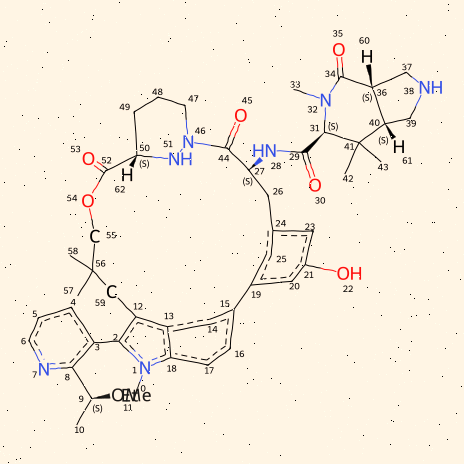 CCn1c(-c2cccnc2[C@H](C)OC)c2c3cc(ccc31)-c1cc(O)cc(c1)C[C@H](NC(=O)[C@H]1N(C)C(=O)[C@@H]3CNC[C@@H]3C1(C)C)C(=O)N1CCC[C@H](N1)C(=O)OCC(C)(C)C2